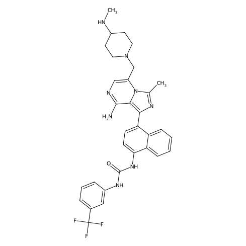 CNC1CCN(Cc2cnc(N)c3c(-c4ccc(NC(=O)Nc5cccc(C(F)(F)F)c5)c5ccccc45)nc(C)n23)CC1